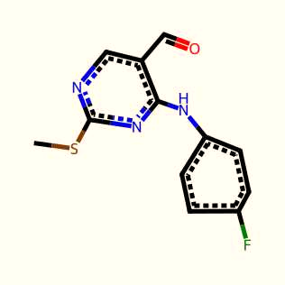 CSc1ncc(C=O)c(Nc2ccc(F)cc2)n1